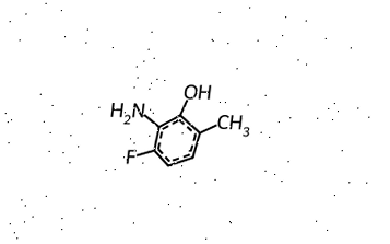 Cc1ccc(F)c(N)c1O